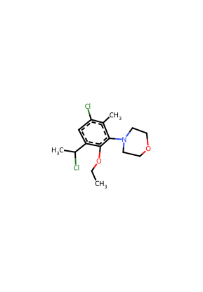 CCOc1c(C(C)Cl)cc(Cl)c(C)c1N1CCOCC1